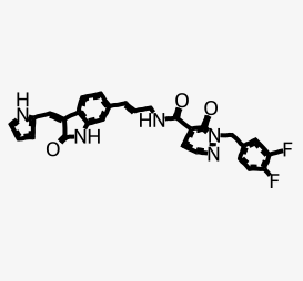 O=C1Nc2cc(C=CCNC(=O)c3ccnn(Cc4ccc(F)c(F)c4)c3=O)ccc2C1=Cc1ccc[nH]1